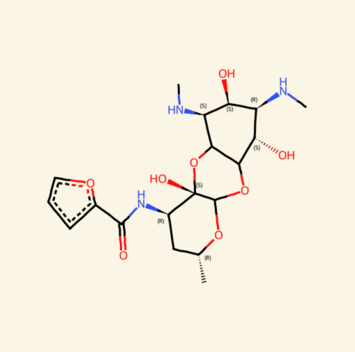 CN[C@@H]1[C@H](O)[C@H](NC)C2O[C@]3(O)C(OC2[C@H]1O)O[C@H](C)C[C@H]3NC(=O)c1ccco1